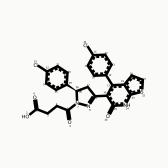 O=C(O)CCC(=O)N1N=C(c2c(-c3ccc(Cl)cc3)c3ccsc3[nH]c2=O)C[C@@H]1c1ccc(Cl)cc1